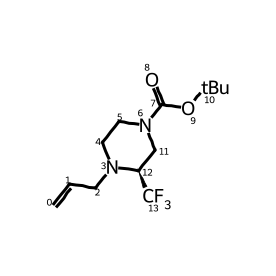 C=CCN1CCN(C(=O)OC(C)(C)C)C[C@H]1C(F)(F)F